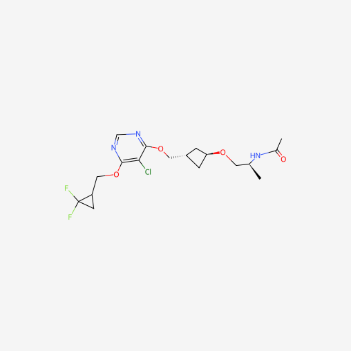 CC(=O)N[C@@H](C)CO[C@H]1C[C@H](COc2ncnc(OCC3CC3(F)F)c2Cl)C1